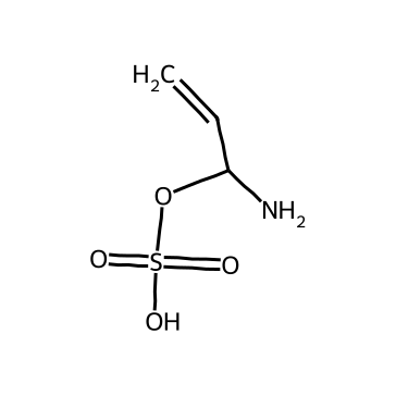 C=CC(N)OS(=O)(=O)O